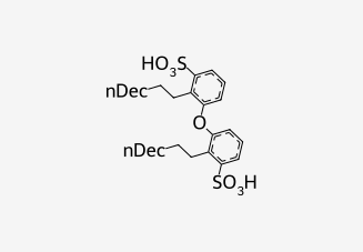 CCCCCCCCCCCCc1c(Oc2cccc(S(=O)(=O)O)c2CCCCCCCCCCCC)cccc1S(=O)(=O)O